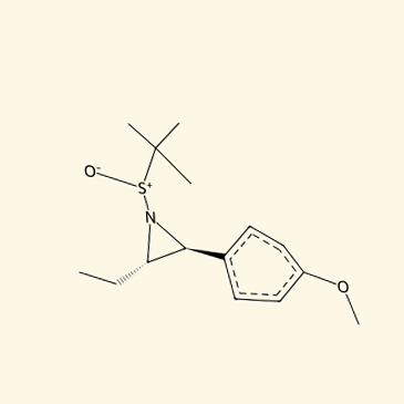 CC[C@H]1[C@H](c2ccc(OC)cc2)N1[S+]([O-])C(C)(C)C